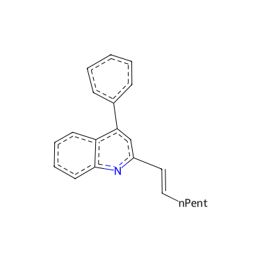 CCCCCC=Cc1cc(-c2ccccc2)c2ccccc2n1